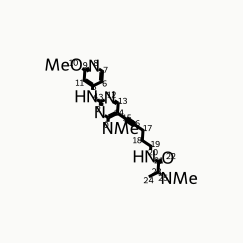 CNc1nc(Nc2ccnc(OC)c2)ncc1C#CCCCNC(=O)[C@H](C)NC